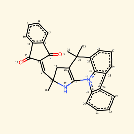 CC1(C=C2C(=O)c3ccccc3C2=O)CC2=C(N1)n1c3ccccc3c3cccc(c31)C2(C)C